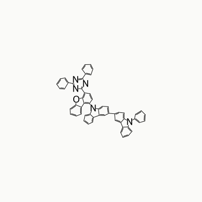 c1ccc(-c2nc(-c3ccccc3)nc(-c3ccc(-n4c5ccccc5c5cc(-c6ccc7c(c6)c6ccccc6n7-c6ccccc6)ccc54)c4c3oc3ccccc34)n2)cc1